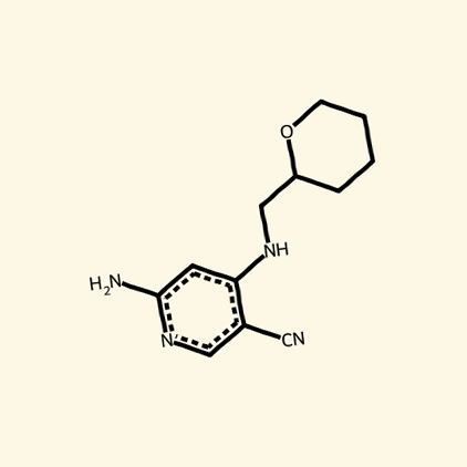 N#Cc1cnc(N)cc1NCC1CCCCO1